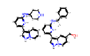 C[C@H](Nc1cccc(-c2cnn3ccc(CO)cc23)n1)c1ccccc1.c1cc(NC2CCNCC2)nc(-c2cnn3ccccc23)c1